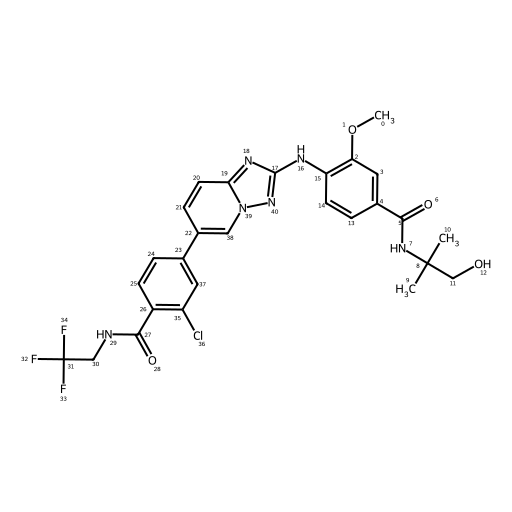 COc1cc(C(=O)NC(C)(C)CO)ccc1Nc1nc2ccc(-c3ccc(C(=O)NCC(F)(F)F)c(Cl)c3)cn2n1